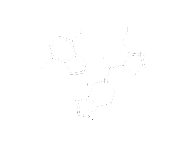 O=C(c1ocnc1C(F)F)N1CCc2[nH]cnc2[C@@H]1c1cc2c(F)ccc(F)c2o1